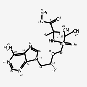 CCCOC(=O)C(C)(C)NP(=O)(CO[C@H](C)Cn1cnc2c(N)ncnc21)C(C#N)C#N